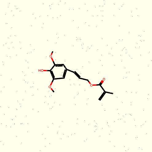 C=C(C)C(=O)OCC=Cc1cc(OC)c(O)c(OC)c1